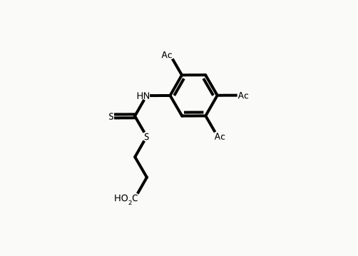 CC(=O)c1cc(C(C)=O)c(C(C)=O)cc1NC(=S)SCCC(=O)O